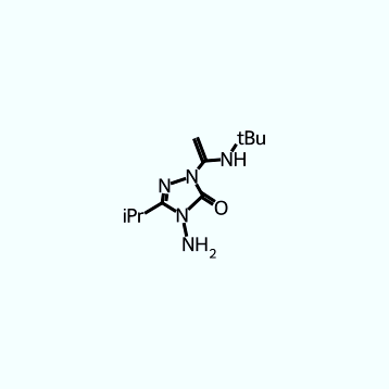 C=C(NC(C)(C)C)n1nc(C(C)C)n(N)c1=O